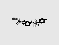 Cc1ccc(S(=O)(=O)N/N=C2\CCC3(C2)CN(C(=O)OC(C)(C)C)C3)cc1